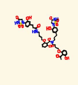 CC(=O)c1c(O)cccc1OCCCCN(CCCc1ccc(N2CC(=O)NS2(=O)=O)c(O)c1)C(=O)c1c(O)cccc1OCCCCNC(=O)CCc1ccc(N2CC(=O)NS2(=O)=O)c(O)c1